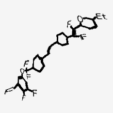 CCC1CCC(/C(F)=C(\F)C2CCC(/C=C/C3CCC(C(F)(F)Oc4cc(F)c(F)c(F)c4)CC3)CC2)OC1